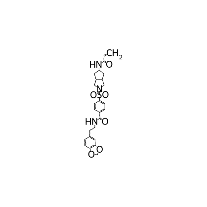 C=CC(=O)NC1CC2CN(S(=O)(=O)c3ccc(C(=O)NCCc4ccc5c(c4)OCO5)cc3)CC2C1